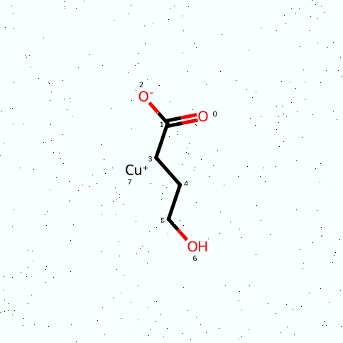 O=C([O-])CCCO.[Cu+]